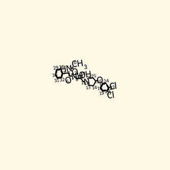 CC(=O)N[C@H](C(=O)NC[C@@H](O)CN1CCC(Oc2ccc(Cl)c(Cl)c2)CC1)c1ccccc1